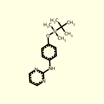 CC(C)(C)[Si](C)(C)Oc1ccc(Nc2ncccn2)cc1